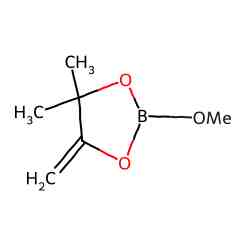 C=C1OB(OC)OC1(C)C